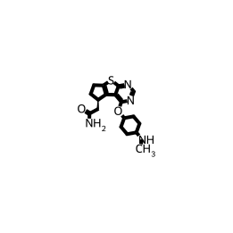 CNC1CCC(Oc2ncnc3sc4c(c23)[C@@H](CC(N)=O)CC4)CC1